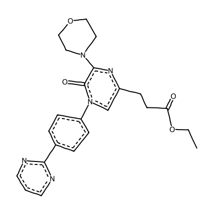 CCOC(=O)CCc1cn(-c2ccc(-c3ncccn3)cc2)c(=O)c(N2CCOCC2)n1